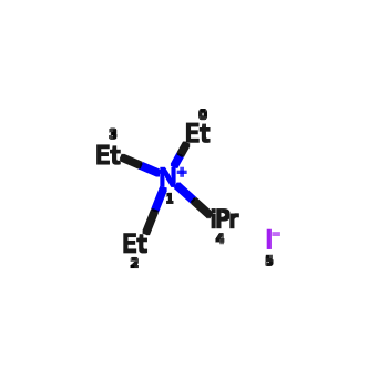 CC[N+](CC)(CC)C(C)C.[I-]